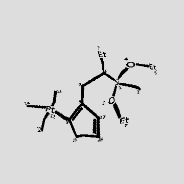 CCO[Si](C)(OCC)C(CC)CC1=[C]([Pt]([CH3])([CH3])[CH3])CC=C1